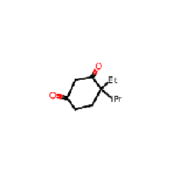 CCC1(C(C)C)CCC(=O)CC1=O